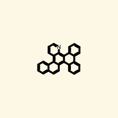 c1ccc2c(c1)ccc1c2c2cccnc2c2c3ccccc3c3ccccc3c12